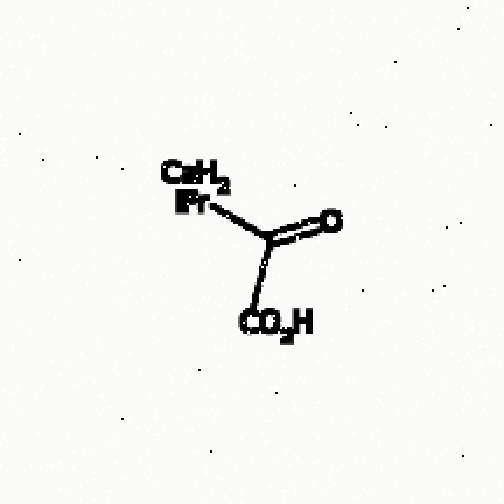 CC(C)C(=O)C(=O)O.[CaH2]